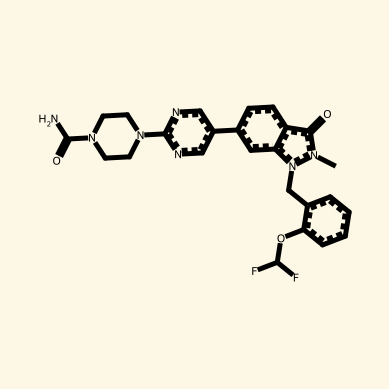 Cn1c(=O)c2ccc(-c3cnc(N4CCN(C(N)=O)CC4)nc3)cc2n1Cc1ccccc1OC(F)F